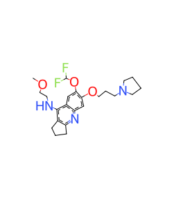 COCCNc1c2c(nc3cc(OCCCN4CCCC4)c(OC(F)F)cc13)CCC2